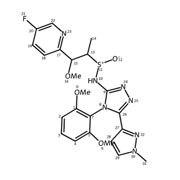 COc1cccc(OC)c1-n1c(N[S+]([O-])C(C)C(OC)c2ccc(F)cn2)nnc1-c1ccn(C)n1